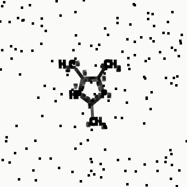 Cc1pc(C)c(C)[pH]1